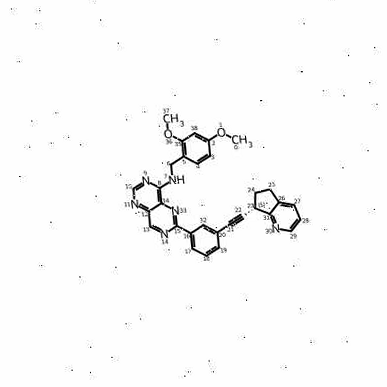 COc1ccc(CNc2ncnc3cnc(-c4cccc(C#C[C@@H]5CCc6cccnc65)c4)nc23)c(OC)c1